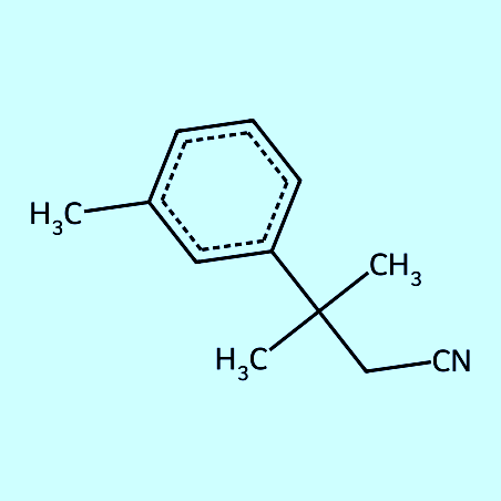 Cc1cccc(C(C)(C)CC#N)c1